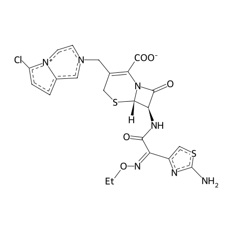 CCO/N=C(\C(=O)N[C@@H]1C(=O)N2C(C(=O)[O-])=C(Cn3cc[n+]4c(Cl)ccc-4c3)CS[C@@H]12)c1csc(N)n1